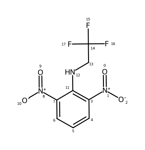 O=[N+]([O-])c1cccc([N+](=O)[O-])c1NCC(F)(F)F